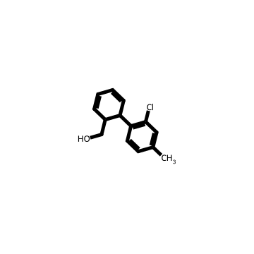 Cc1ccc(C2C=CC=CC2CO)c(Cl)c1